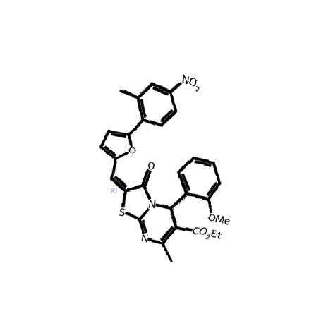 CCOC(=O)C1=C(C)N=c2s/c(=C/c3ccc(-c4ccc([N+](=O)[O-])cc4C)o3)c(=O)n2C1c1ccccc1OC